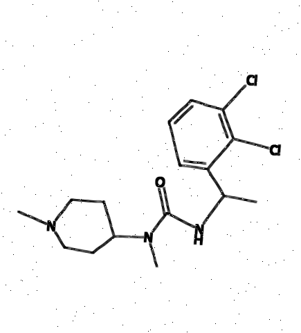 CC(NC(=O)N(C)C1CCN(C)CC1)c1cccc(Cl)c1Cl